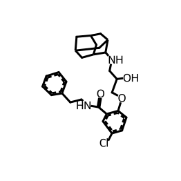 O=C(NCCc1ccccc1)c1cc(Cl)ccc1OCC(O)CNC1C2CC3CC(C2)CC1C3